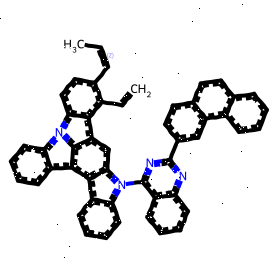 C=Cc1c(/C=C\C)ccc2c1c1cc3c(c4ccccc4n3-c3nc(-c4ccc5ccc6ccccc6c5c4)nc4ccccc34)c3c4ccccc4n2c13